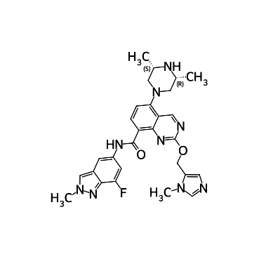 C[C@@H]1CN(c2ccc(C(=O)Nc3cc(F)c4nn(C)cc4c3)c3nc(OCc4cncn4C)ncc23)C[C@H](C)N1